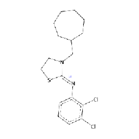 Clc1cccc(/N=C2\SCCN2CC2CCCCCC2)c1Cl